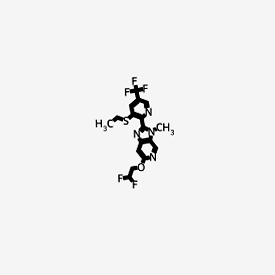 CCSc1cc(C(F)(F)F)cnc1-c1nc2cc(OCC(F)F)ncc2n1C